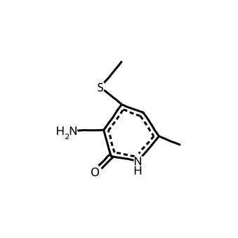 CSc1cc(C)[nH]c(=O)c1N